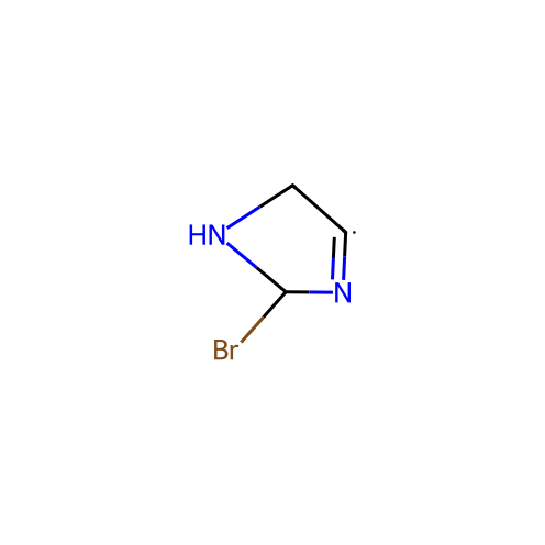 BrC1N=[C]CN1